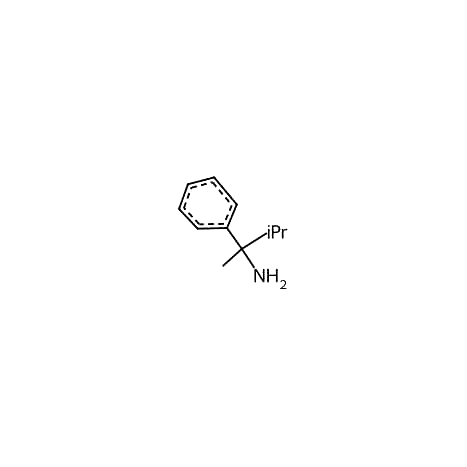 CC(C)C(C)(N)c1ccccc1